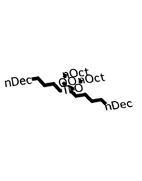 CCCCCCCCCCCCC[CH2][Ti](=[O])([CH2]CCCCCCCCCCCCC)([O]CCCCCCCC)[O]CCCCCCCC